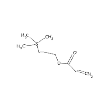 C=CC(=O)OCCS(C)(C)C